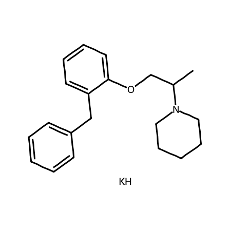 CC(COc1ccccc1Cc1ccccc1)N1CCCCC1.[KH]